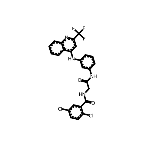 O=C(CNC(=O)c1cc(Cl)ccc1Cl)Nc1cccc(Nc2cc(C(F)(F)F)nc3ccccc23)c1